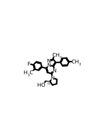 Cc1ccc(-c2c(C)nn3c(-c4ccc(F)c(C)c4)cc(N4CCC[C@H]4CO)nc23)cc1